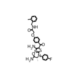 Cc1ccccc1CNC(=O)COc1ccc(C(=O)c2sc(N(c3ccc(F)cc3)[C@H](C)C(N)=O)nc2N)cc1